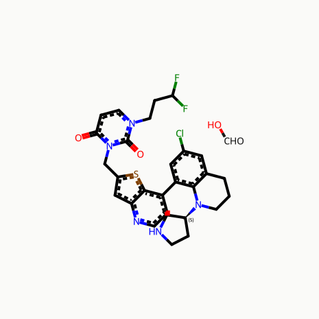 O=CO.O=c1ccn(CCC(F)F)c(=O)n1Cc1cc2nccc(-c3cc(Cl)cc4c3N([C@H]3CCNC3)CCC4)c2s1